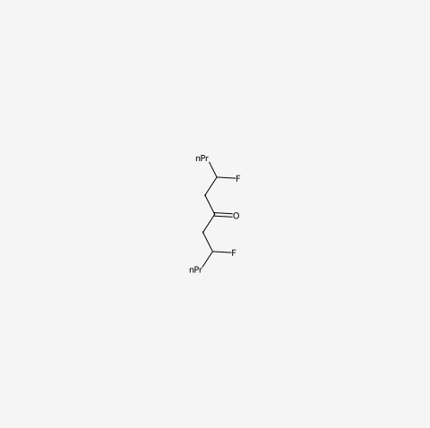 CCCC(F)CC(=O)CC(F)CCC